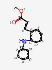 COC(=O)C=Cc1ccccc1Nc1ccccc1